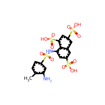 Cc1ccc(S(=O)(=O)Nc2cc(S(=O)(=O)O)cc3cc(S(=O)(=O)O)cc(S(=O)(=O)O)c23)cc1N